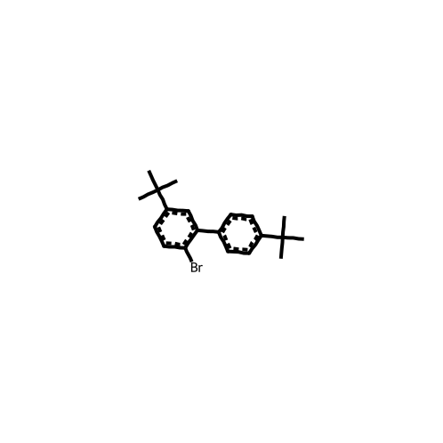 CC(C)(C)c1ccc(-c2cc(C(C)(C)C)ccc2Br)cc1